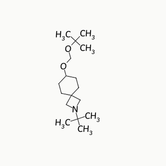 CC(C)(C)OCOC1CCC2(CC1)CN(C(C)(C)C)C2